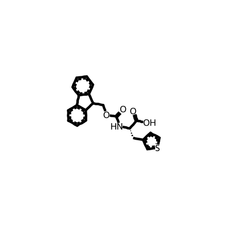 O=C(N[C@@H](Cc1ccsc1)C(=O)O)OCC1c2ccccc2-c2ccccc21